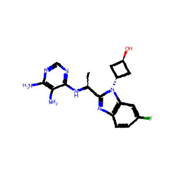 C[C@H](Nc1ncnc(N)c1N)c1nc2ccc(F)cc2n1[C@H]1C[C@H](O)C1